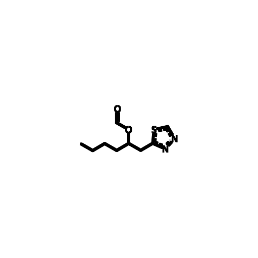 CCCCC(Cc1nncs1)OC=O